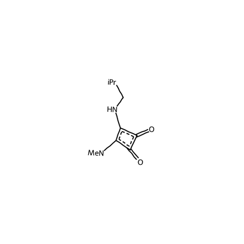 CNc1c(NCC(C)C)c(=O)c1=O